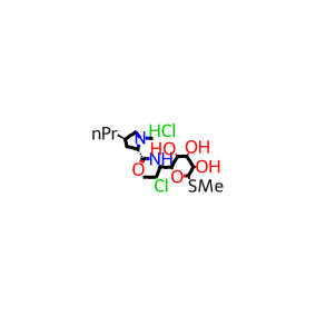 CCC[C@@H]1C[C@@H](C(=O)N[C@H](C(C)Cl)[C@H]2O[C@H](SC)[C@H](O)[C@@H](O)[C@H]2O)N(C)C1.Cl